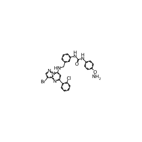 NOc1ccc(NC(=O)Nc2cccc(CNc3cc(-c4ccccc4Cl)nc4c(Br)cnn34)c2)cc1